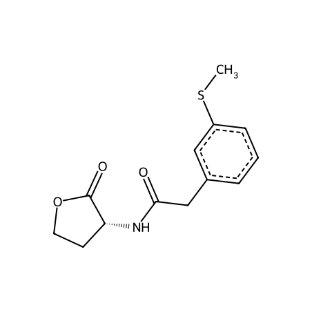 CSc1cccc(CC(=O)N[C@@H]2CCOC2=O)c1